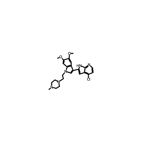 COc1cc2c(-c3cc4c(Cl)ccnc4[nH]3)cn(CCN3CCN(C)CC3)c2cc1OC